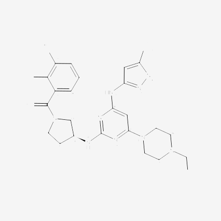 CCN1CCN(c2cc(Nc3cc(C)[nH]n3)nc(N[C@H]3CCN(C(=O)c4cccc(C)c4F)C3)n2)CC1